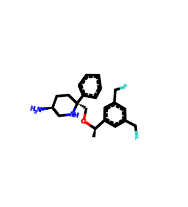 C[C@@H](OC[C@@]1(c2ccccc2)CC[C@H](N)CN1)c1cc(CF)cc(CF)c1